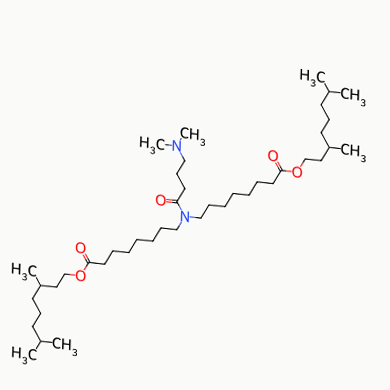 CC(C)CCCC(C)CCOC(=O)CCCCCCCN(CCCCCCCC(=O)OCCC(C)CCCC(C)C)C(=O)CCCN(C)C